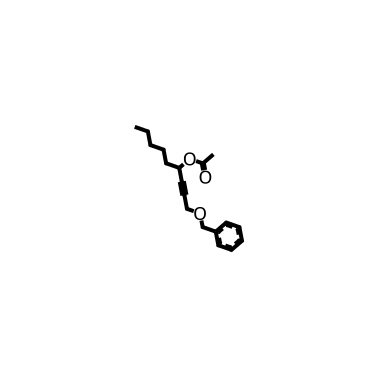 CCCCCC(C#CCOCc1ccccc1)OC(C)=O